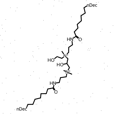 CCCCCCCCCCCCCCCCCC(=O)NCCC[N+](C)(C)CC(O)C[N+](C)(CCO)CCCNC(=O)CCCCCCCCCCCCCCCCC